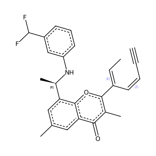 C#C/C=C\C(=C/C)c1oc2c([C@@H](C)Nc3cccc(C(F)F)c3)cc(C)cc2c(=O)c1C